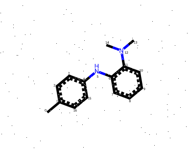 Cc1ccc(Nc2ccccc2N(C)C)cc1